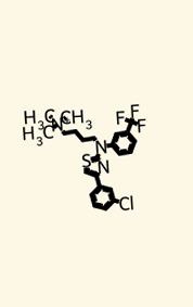 C[N+](C)(C)CCCCN(c1cccc(C(F)(F)F)c1)c1nc(-c2cccc(Cl)c2)cs1